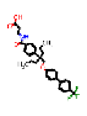 CCCC(CCC)(COc1ccc(-c2ccc(C(F)(F)F)cc2)cc1)c1ccc(C(=O)NCCC(=O)O)cc1